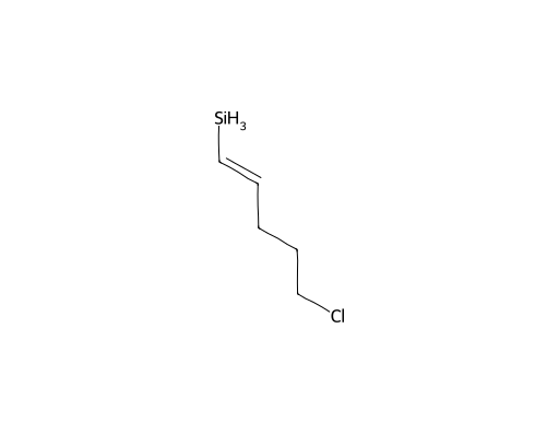 [SiH3]C=CCCCCl